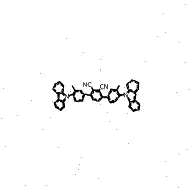 Cc1cc(-c2ccc(-c3ccc(-n4c5ccccc5c5ccccc54)c(C)c3)c(C#N)c2C#N)ccc1-n1c2ccccc2c2ccccc21